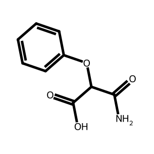 NC(=O)C(Oc1ccccc1)C(=O)O